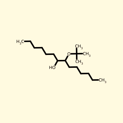 CCCCCCC(O)C(CCCCCC)OC(C)(C)C